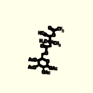 C#CC(OC(=O)C(F)(F)F)[N+](C)(C)CC(=O)OC[C@H]1OC(OC(C)=O)[C@H](OC(C)=O)[C@@H](OC(C)=O)[C@@H]1OC(C)=O